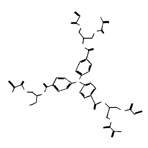 C=CC(=O)OCC(COC(=O)C(=C)C)OC(=O)c1ccc(N(c2ccc(C(=O)OC(COC(C)=O)COC(=O)C(=C)C)cc2)c2ccc(C(=O)OC(COC(=O)C=C)COC(=O)C(=C)C)cc2)cc1